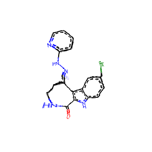 O=C1NCC/C(=N\Nc2ccccn2)c2c1[nH]c1ccc(Br)cc21